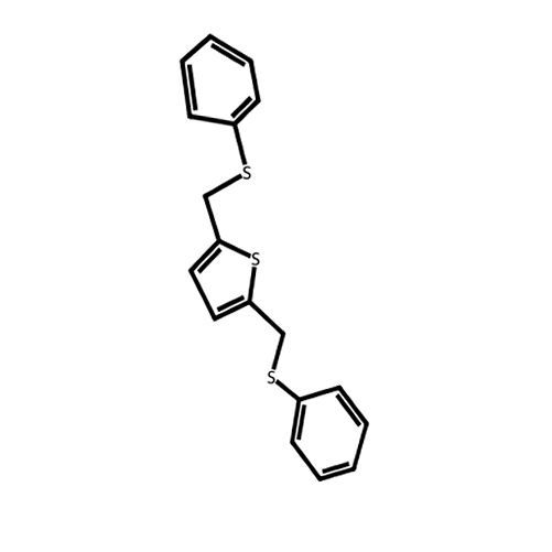 c1ccc(SCc2ccc(CSc3ccccc3)s2)cc1